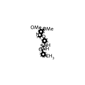 COc1cc2nccc(Oc3ccc(NC(=S)NC(=O)c4cccc(C)c4)cc3)c2cc1OC